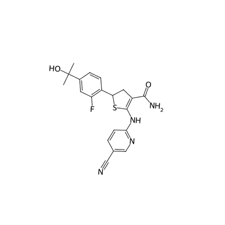 CC(C)(O)c1ccc(C2CC(C(N)=O)=C(Nc3ccc(C#N)cn3)S2)c(F)c1